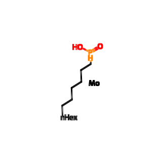 CCCCCCCCCCCC[PH](=O)O.[Mo]